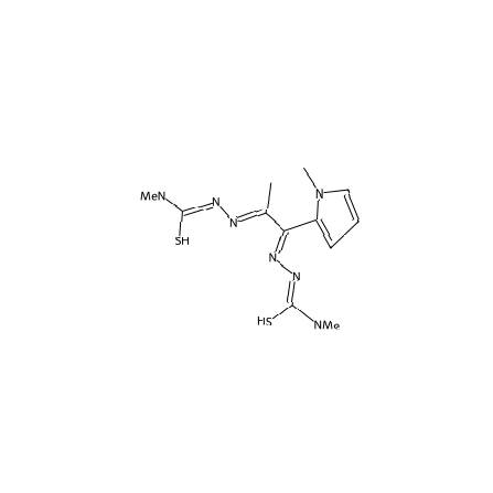 CN/C(S)=N/N=C(C)/C(=N/N=C(\S)NC)c1cccn1C